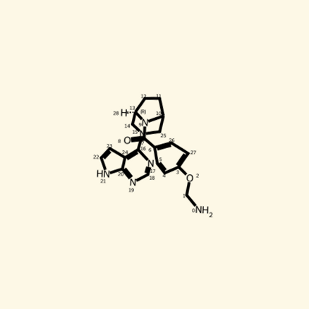 NCOc1ccc(C(=O)N2C3CC[C@@H]2CN(c2ncnc4[nH]ccc24)C3)cc1